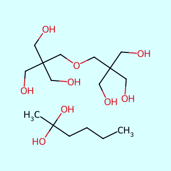 CCCCC(C)(O)O.OCC(CO)(CO)COCC(CO)(CO)CO